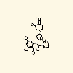 CCc1cc(OC)cc2nc(-c3cccnc3N3CC[C@H](N4CCNC(=O)C4)C3)oc(=O)c12